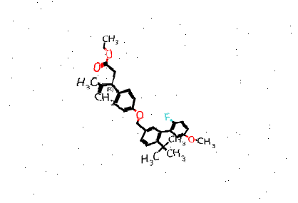 C=C(C)[C@@H](CC(=O)OCC)c1ccc(OCc2ccc(C(C)(C)C)c(-c3cc(OC)ccc3F)c2)cc1